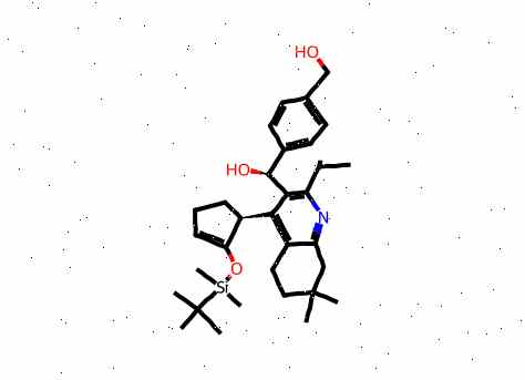 CC(C)c1nc2c(c([C@@H]3CCC=C3O[Si](C)(C)C(C)(C)C)c1[C@@H](O)c1ccc(CO)cc1)CCC(C)(C)C2